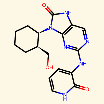 O=c1[nH]cccc1Nc1ncc2[nH]c(=O)n([C@@H]3CCCC[C@@H]3CO)c2n1